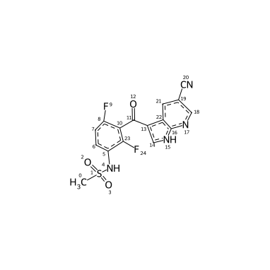 CS(=O)(=O)Nc1ccc(F)c(C(=O)c2c[nH]c3ncc(C#N)cc23)c1F